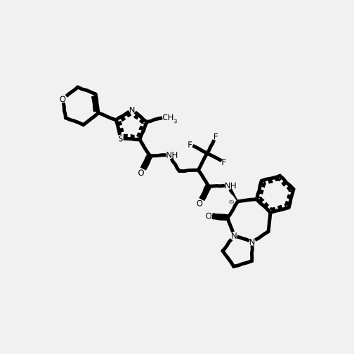 Cc1nc(C2=CCOCC2)sc1C(=O)NCC(C(=O)N[C@@H]1C(=O)N2CCCN2Cc2ccccc21)C(F)(F)F